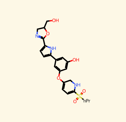 CCCS(=O)(=O)C1=CC=C(Oc2cc(O)cc(-c3ccc(C4=NCC(CO)O4)[nH]3)c2)CN1